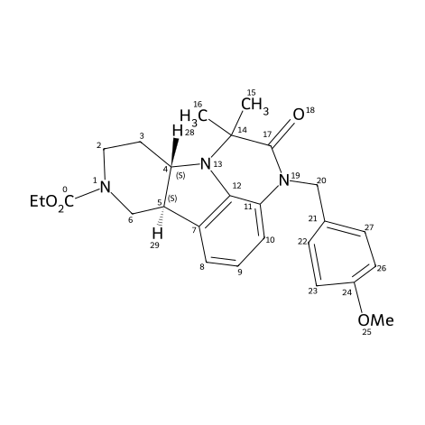 CCOC(=O)N1CC[C@H]2[C@H](C1)c1cccc3c1N2C(C)(C)C(=O)N3Cc1ccc(OC)cc1